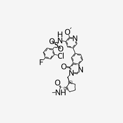 CNC(=O)[C@H]1CCC[C@@H]1Cn1cnc2ccc(-c3cnc(OC)c(NS(=O)(=O)c4ccc(F)cc4Cl)c3)cc2c1=O